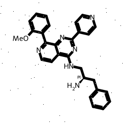 COc1ccccc1-c1nccc2c(NC[C@H](N)Cc3ccccc3)nc(-c3ccncc3)nc12